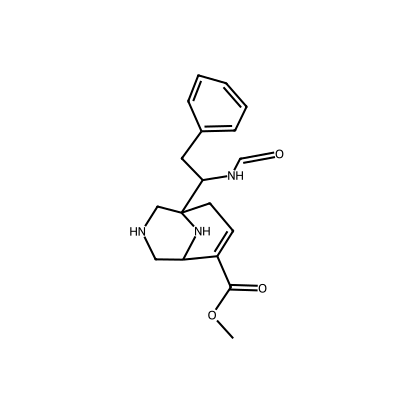 COC(=O)C1=CCC2(C(Cc3ccccc3)NC=O)CNCC1N2